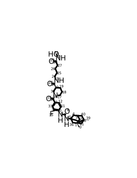 C[C@]12CC3CC(NC(=O)Nc4ccc(C(=O)N5CCC[C@H](C(=O)NCCCCC(=O)NO)C5)cc4F)(C1)C[C@@](C)(C3)C2